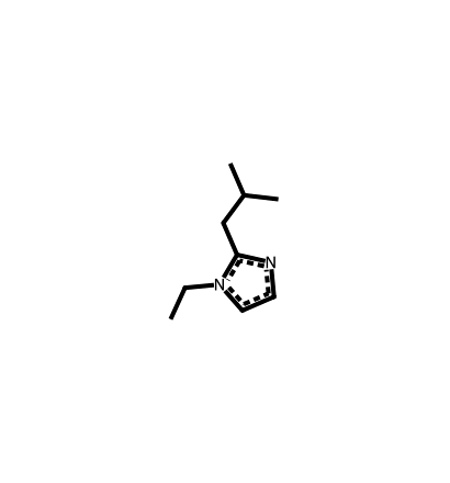 CCn1ccnc1CC(C)C